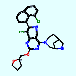 Fc1c(-c2cccc3cccc(Cl)c23)ncc2c(N3CCC4CNC(C4)C3)nc(OC[C@H]3CCCO3)nc12